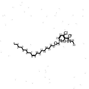 CCCCCCCC/C=C\CCCCCCCCOCN1C=CC(Cl)=C(C(=O)NCC)C1